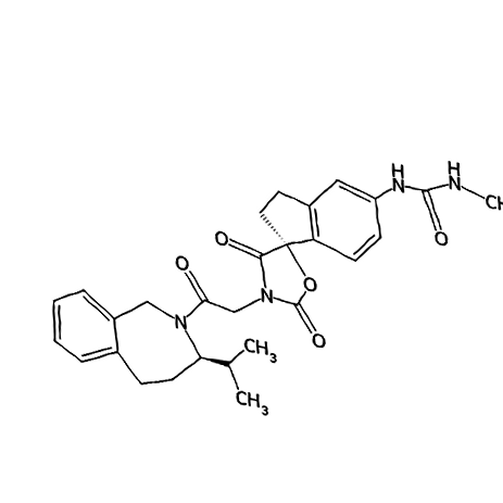 CNC(=O)Nc1ccc2c(c1)CC[C@@]21OC(=O)N(CC(=O)N2Cc3ccccc3CC[C@@H]2C(C)C)C1=O